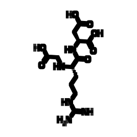 N=C(N)NCCC[C@H](NCC(=O)O)C(=O)N[C@@H](CC(=O)O)C(=O)O